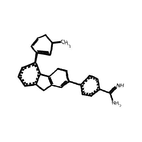 CC1C=C(c2cccc3c2C2=C(C=C(c4ccc(C(=N)N)cc4)CC2)C3)C=CC1